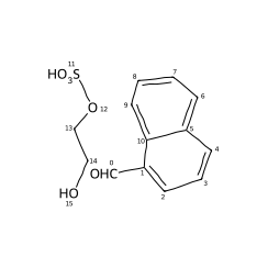 O=Cc1cccc2ccccc12.O=S(=O)(O)OCCO